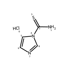 Cl.NC(=S)n1ccnc1